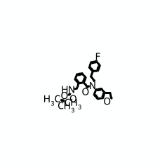 CC(C)(C)OC(=O)NCc1ccccc1C(=O)N(CCc1ccc(F)cc1)c1ccc2c(c1)CCO2